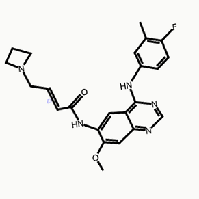 COc1cc2ncnc(Nc3ccc(F)c(C)c3)c2cc1NC(=O)/C=C/CN1CCC1